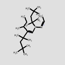 C/C=N\N(/C=C(\C(C)CC)C(C)(C)CC(C)(C)C)C(C)(C)CC(C)(C)C